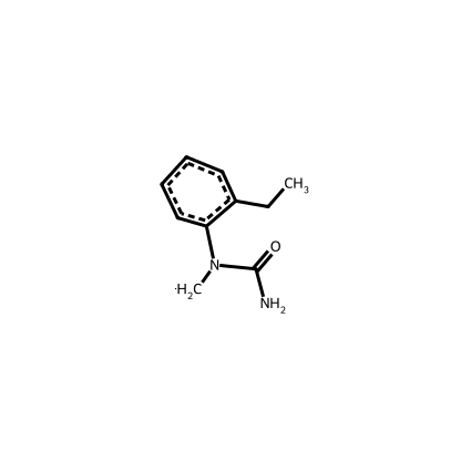 [CH2]N(C(N)=O)c1ccccc1CC